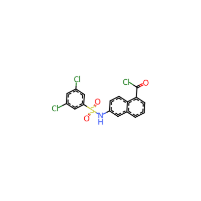 O=C(Cl)c1cccc2cc(NS(=O)(=O)c3cc(Cl)cc(Cl)c3)ccc12